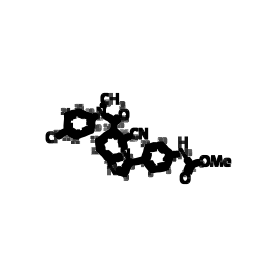 COC(=O)Nc1ccc(-c2cnc3ccc(C(=O)N(C)c4ccc(Cl)cc4)c(C#N)n23)cc1